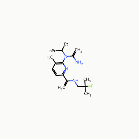 C=C(NCC(C)(C)F)c1ccc(C)c(N(C(=C)N)C(CC)CCC)n1